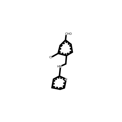 O=Cc1ccc(CNc2ccccn2)c(Cl)c1